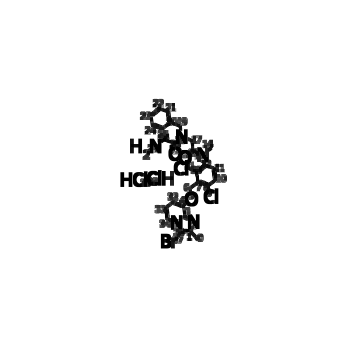 Cc1nc2c(OCc3c(Cl)ccc(N(C)C(=O)CN(Cc4ccccc4)C(=O)CN)c3Cl)cccn2c1Br.Cl.Cl